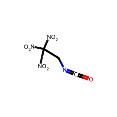 O=C=NCC([N+](=O)[O-])([N+](=O)[O-])[N+](=O)[O-]